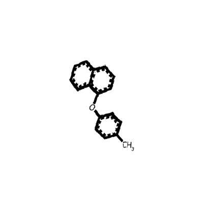 Cc1ccc(Oc2cc[c]c3ccccc23)cc1